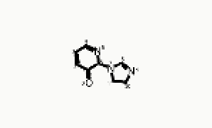 O=C1C=CC=NC1N1C=NCC1